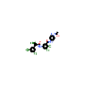 CC(=O)Nc1ccc(NC(=O)c2cc(NC(=O)[C@@H]3[C@@H](c4cc(Cl)cc(Cl)c4)C3(Cl)Cl)cc(Cl)c2Cl)cc1